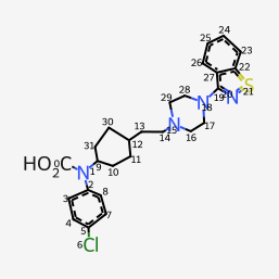 O=C(O)N(c1ccc(Cl)cc1)C1CCC(CCN2CCN(c3nsc4ccccc34)CC2)CC1